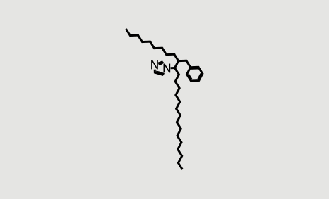 CCCCCCCCCCCCCCCC(C(CCCCCCCCC)Cc1ccccc1)n1ccnc1